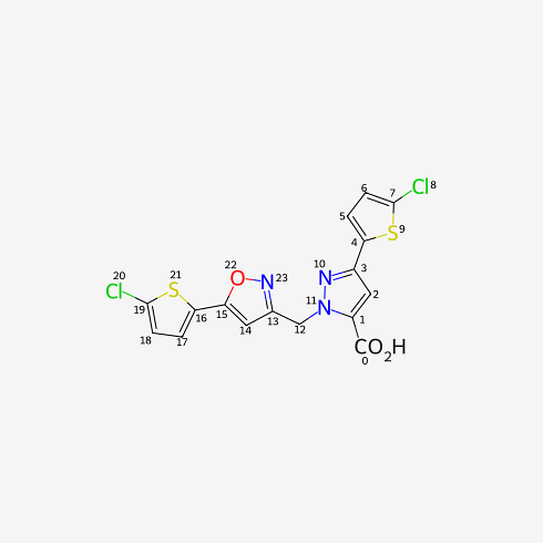 O=C(O)c1cc(-c2ccc(Cl)s2)nn1Cc1cc(-c2ccc(Cl)s2)on1